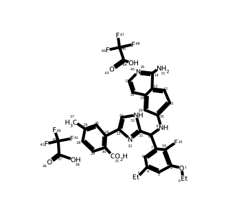 CCOc1cc(CC)cc(C(Nc2ccc3c(N)nccc3c2)c2nc(-c3cc(C)ccc3C(=O)O)c[nH]2)c1F.O=C(O)C(F)(F)F.O=C(O)C(F)(F)F